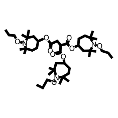 CCCON1C(C)(C)CCC(OC(=O)CC(C(=O)OC2CCC(C)(C)N(OCCC)C(C)(C)C2)C(=O)OC2CCC(C)(C)N(OCCC)C(C)(C)C2)CC1(C)C